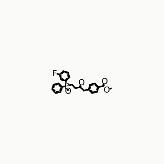 COC(=O)c1ccc(CC(=O)CCP(=O)(c2ccccc2)c2cccc(F)c2)cc1